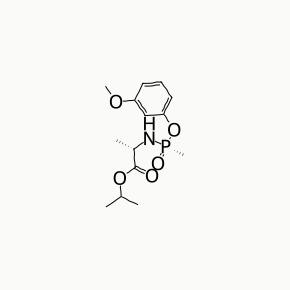 COc1cccc(O[P@@](C)(=O)N[C@@H](C)C(=O)OC(C)C)c1